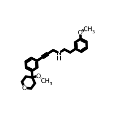 COc1cccc(CCNCC#Cc2cccc(C3(OC)CCOCC3)c2)c1